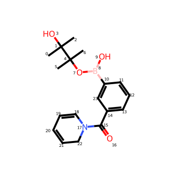 CC(C)(O)C(C)(C)OB(O)c1cccc(C(=O)N2C=CC=CC2)c1